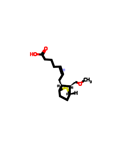 COC[C@@H]1[C@@H]2CCC(S2)[C@@H]1C/C=C\CCCC(=O)O